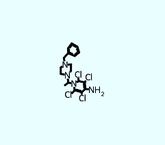 CC(N1CCN(Cc2ccccc2)CC1)N1C(Cl)=C(Cl)C(N)=C(Cl)C1Cl